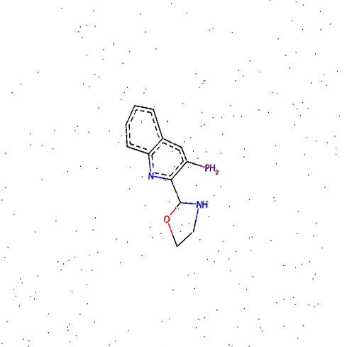 Pc1cc2ccccc2nc1C1NCCO1